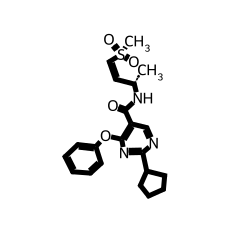 C[C@@H](/C=C\S(C)(=O)=O)NC(=O)c1cnc(C2CCCC2)nc1Oc1ccccc1